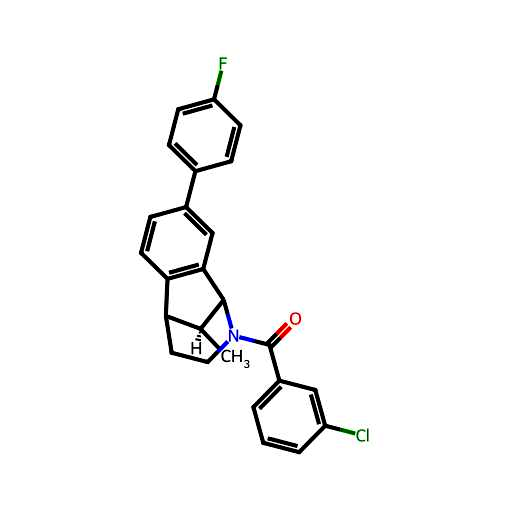 C[C@H]1C2CCN(C(=O)c3cccc(Cl)c3)C1c1cc(-c3ccc(F)cc3)ccc12